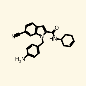 N#Cc1ccc2cc(C(=O)NC3CC=CCC3)n(Cc3ccc(N)cc3)c2c1